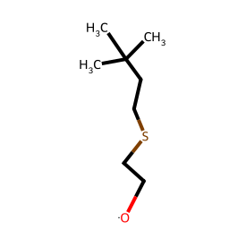 CC(C)(C)CCSCC[O]